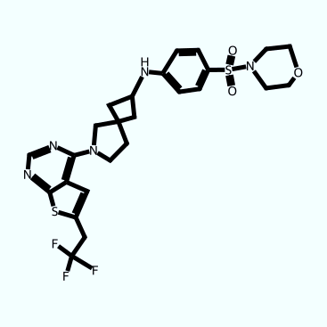 O=S(=O)(c1ccc(NC2CC3(CCN(c4ncnc5sc(CC(F)(F)F)cc45)C3)C2)cc1)N1CCOCC1